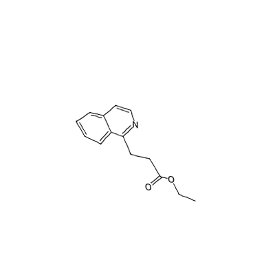 CCOC(=O)CCc1nccc2ccccc12